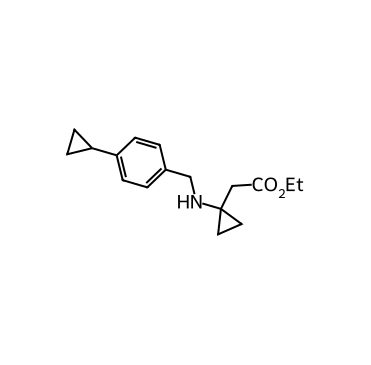 CCOC(=O)CC1(NCc2ccc(C3CC3)cc2)CC1